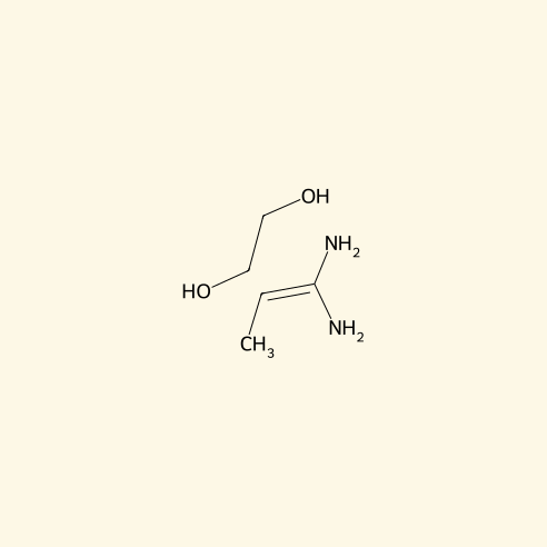 CC=C(N)N.OCCO